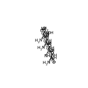 COc1ccc(NC(=O)[C@H](CCCCN)NC(=O)c2cc(NC(=O)[C@H](CCCCN)NC(=O)c3cc(NC(=O)[C@H](CCCCCN)NC(=O)c4cc(NC(=O)[C@H](CCCCN)NC(=O)Cc5ccccc5)ccc4OC)ccc3OC)ccc2OCC(=O)O)cc1C(N)=O